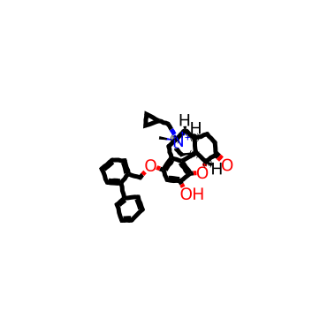 C[N@+]1(CC2CC2)CC[C@]23c4c5c(OCc6ccccc6-c6ccccc6)cc(O)c4O[C@H]2C(=O)CC[C@H]3[C@H]1C5